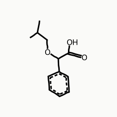 CC(C)COC(C(=O)O)c1ccccc1